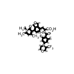 Cc1cc(C)n(C)c(=O)c1-c1ccc(CC(NC(=O)c2c(F)cc(N3CCOCC3C(F)(F)F)cc2F)C(=O)O)c2c1COC2